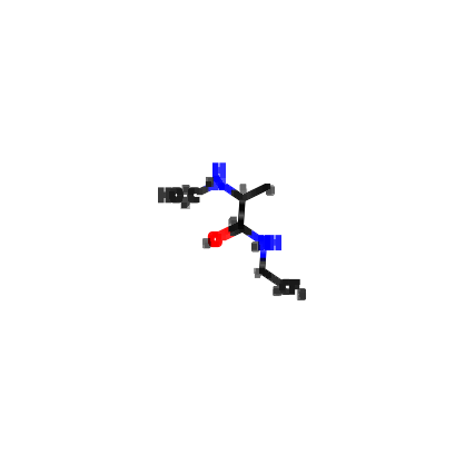 CC(NC(=O)O)C(=O)NCC(F)(F)F